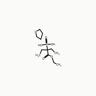 C1CCOC1.CCOC(=O)C(CC)(CC)P(=O)(O)O